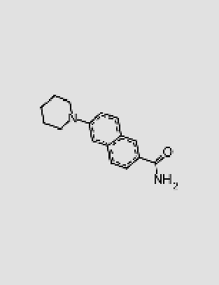 NC(=O)c1ccc2cc(N3CCCCC3)ccc2c1